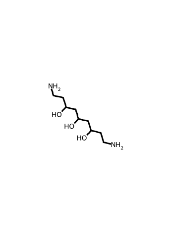 NCCC(O)CC(O)CC(O)CCN